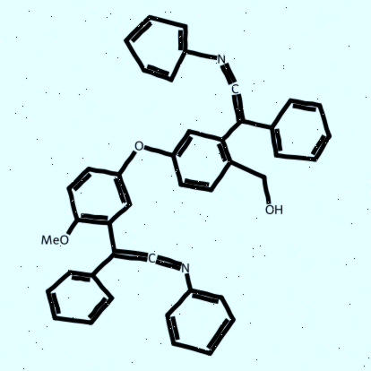 COc1ccc(Oc2ccc(CO)c(C(=C=Nc3ccccc3)c3ccccc3)c2)cc1C(=C=Nc1ccccc1)c1ccccc1